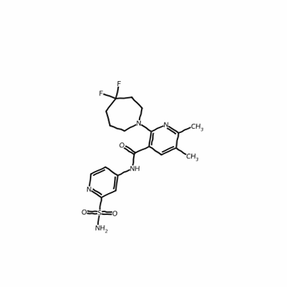 Cc1cc(C(=O)Nc2ccnc(S(N)(=O)=O)c2)c(N2CCCC(F)(F)CC2)nc1C